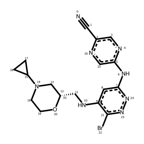 N#Cc1cnc(Nc2cc(NC[C@H]3CN(C4CC4)CCO3)c(Br)nn2)cn1